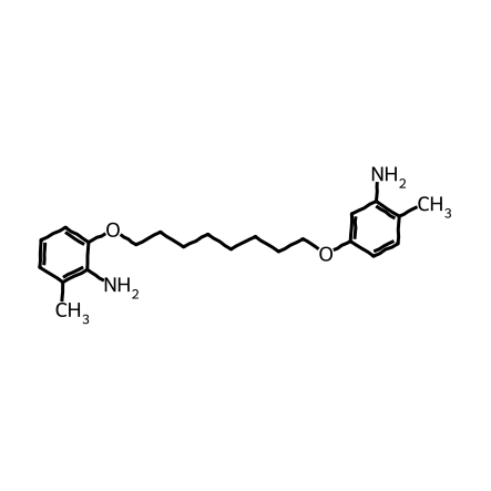 Cc1ccc(OCCCCCCCCOc2cccc(C)c2N)cc1N